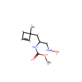 CCCC1(CC(CNO)NC(=O)OC(C)(C)C)C=CC1